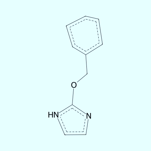 c1ccc(COc2ncc[nH]2)cc1